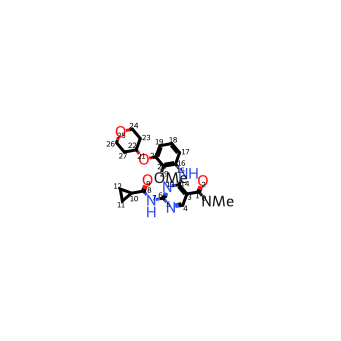 CNC(=O)c1cnc(NC(=O)C2CC2)nc1Nc1cccc(OC2CCOCC2)c1OC